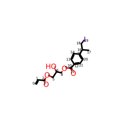 C=CC(=O)OCC(O)COC(=O)c1ccc(C(C)CI)cc1